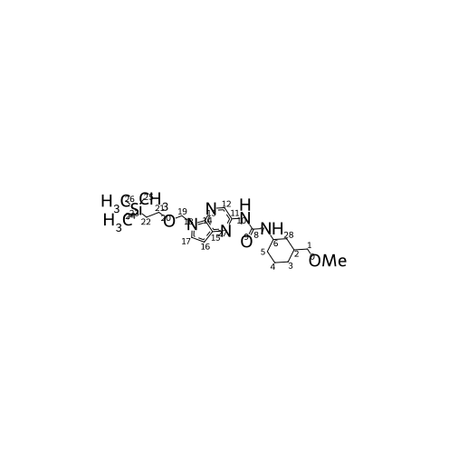 COCC1CCCC(NC(=O)Nc2cnc3c(ccn3COCC[Si](C)(C)C)n2)C1